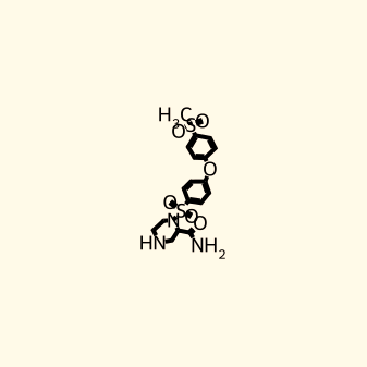 CS(=O)(=O)c1ccc(Oc2ccc(S(=O)(=O)N3CCNCC3C(N)=O)cc2)cc1